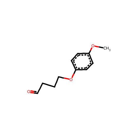 COc1ccc(OCCCC=O)cc1